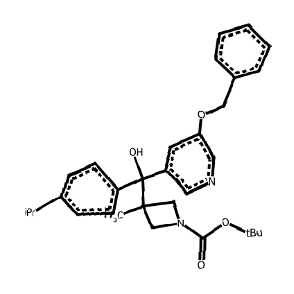 CC(C)c1ccc(C(O)(c2cncc(OCc3ccccc3)c2)C2(C)CN(C(=O)OC(C)(C)C)C2)cc1